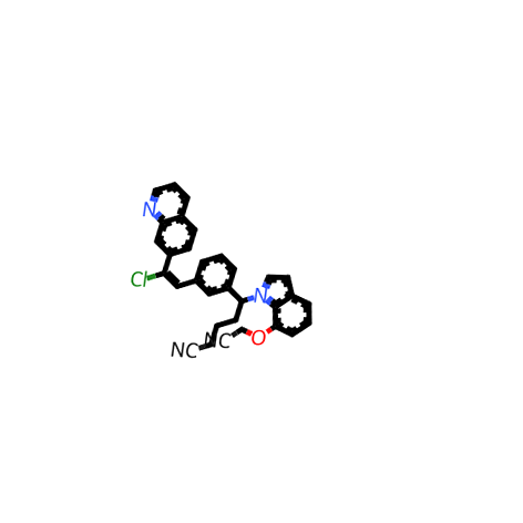 N#CCCCC(c1cccc(/C=C(/Cl)c2ccc3cccnc3c2)c1)n1ccc2cccc(OCC#N)c21